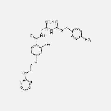 O=C(N[C@@H](CNC(=O)c1ccc(OCCNc2ncccn2)cc1O)C(=O)O)OCc1ccc([N+](=O)[O-])cc1